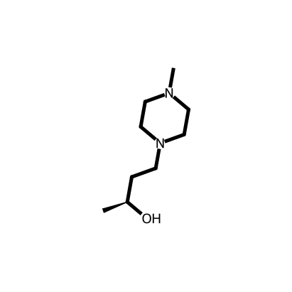 C[C@H](O)CCN1CCN(C)CC1